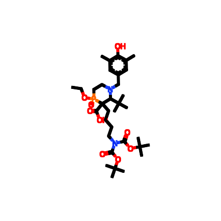 CCOP1(=O)CCN(Cc2cc(C)c(O)c(C)c2)C(C(C)(C)C)C1(CCCCN(C(=O)OC(C)(C)C)C(=O)OC(C)(C)C)C(=O)O